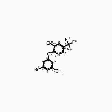 Cc1[c]c(Br)cc(Oc2ncc(C(F)(F)F)cc2Cl)c1